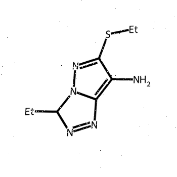 CCSc1nn2c(c1N)N=NC2CC